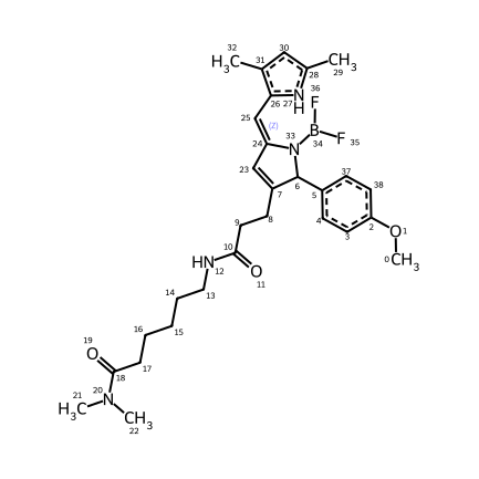 COc1ccc(C2C(CCC(=O)NCCCCCC(=O)N(C)C)=C/C(=C/c3[nH]c(C)cc3C)N2B(F)F)cc1